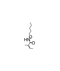 CC=C(C)C(=O)NOCCCCC